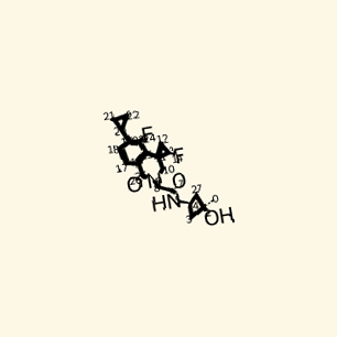 C[C@]1(O)C[C@@H](NC(=O)CN2CC3(C[C@H]3F)c3c(ccc(C4CC4)c3F)C2=O)C1